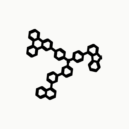 c1cc(-c2cccc(N(c3ccc(-c4ccc5c6ccccc6c6ccccc6c5c4)cc3)c3ccc(-c4cccc5sc6ccccc6c45)cc3)c2)cc(-c2cccc3ccccc23)c1